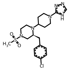 CS(=O)(=O)N1CCN(C2CCN(c3nnc[nH]3)CC2)[C@@H](Cc2ccc(Cl)cc2)C1